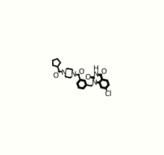 O=C(c1cccc(Cn2c(=O)[nH]c(=O)c3ccc(Cl)cc32)c1)N1CCN(C(=O)C2CCCC2)CC1